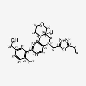 CCc1nnc(CN2C[C@@H]3COCCN3c3nc(-c4cc(CO)ccc4F)ncc32)o1